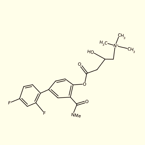 CNC(=O)c1cc(-c2ccc(F)cc2F)ccc1OC(=O)CC(O)C[N+](C)(C)C